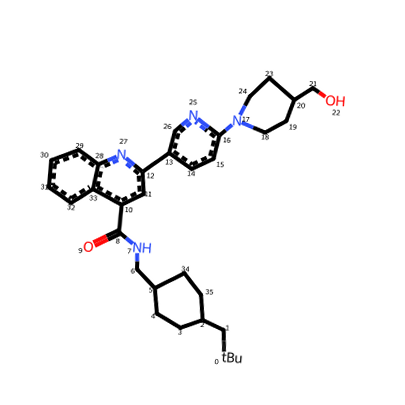 CC(C)(C)CC1CCC(CNC(=O)c2cc(-c3ccc(N4CCC(CO)CC4)nc3)nc3ccccc23)CC1